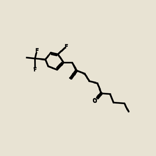 C=C(CCCC(=O)CCCC)CC1=CCC(C(C)(F)F)C=C1F